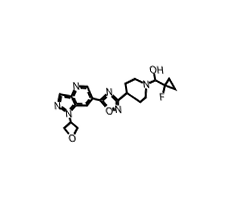 OC(N1CCC(c2noc(-c3cnc4cnn(C5COC5)c4c3)n2)CC1)C1(F)CC1